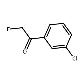 O=C(CF)c1cccc(Cl)c1